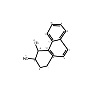 N#CC1CCc2ccc3ccccc3c2C1C#N